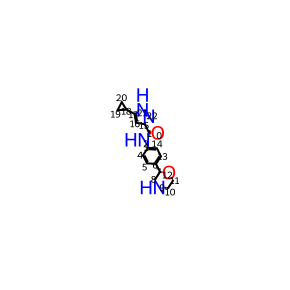 O=C(Nc1ccc(C2CNCCO2)cc1)c1cc(C2CC2)[nH]n1